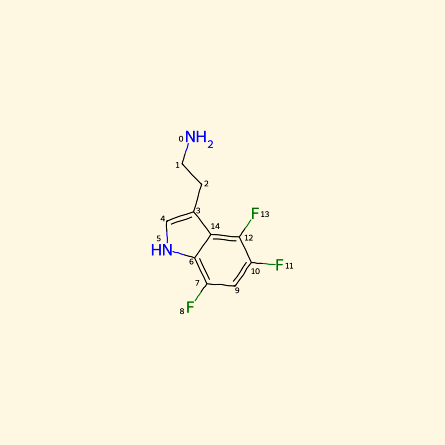 NCCc1c[nH]c2c(F)cc(F)c(F)c12